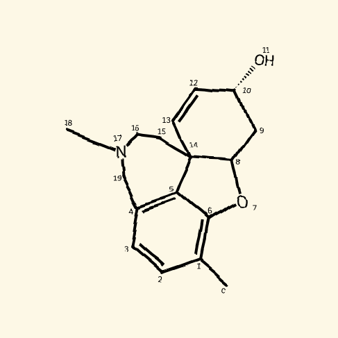 Cc1ccc2c3c1OC1C[C@@H](O)C=CC31CCN(C)C2